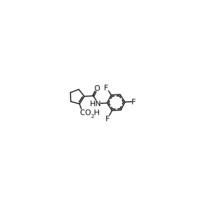 O=C(O)C1=C(C(=O)Nc2c(F)cc(F)cc2F)CCC1